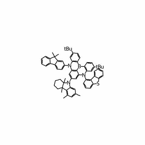 Cc1cc(C)c2c(c1)N(c1cc3c4c(c1)N(c1cccc5sc6ccccc6c15)c1cc(C(C)(C)C)ccc1B4c1ccc(C(C)(C)C)cc1N3c1ccc3c(c1)C(C)(C)c1ccccc1-3)C1(C)CCCCC21C